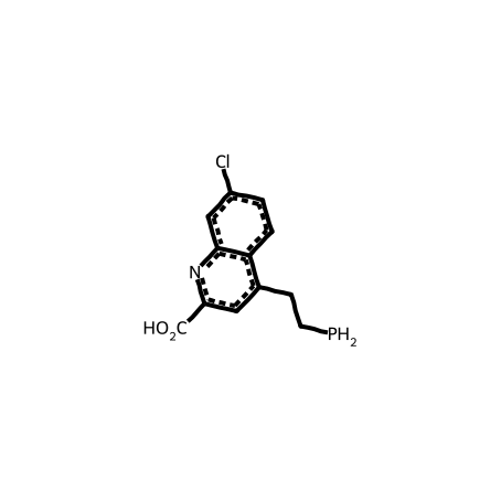 O=C(O)c1cc(CCP)c2ccc(Cl)cc2n1